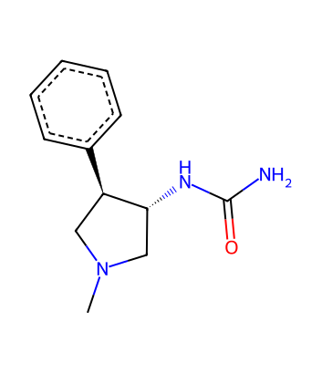 CN1C[C@@H](NC(N)=O)[C@H](c2ccccc2)C1